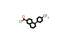 O=C(Cl)c1ccc2c(-c3ccc(C(F)(F)F)cc3)cccc2c1